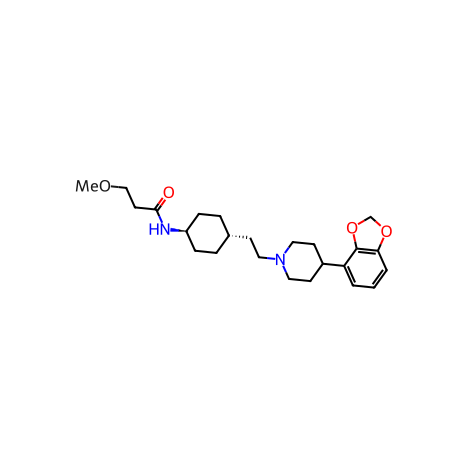 COCCC(=O)N[C@H]1CC[C@H](CCN2CCC(c3cccc4c3OCO4)CC2)CC1